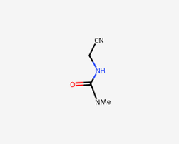 CNC(=O)NCC#N